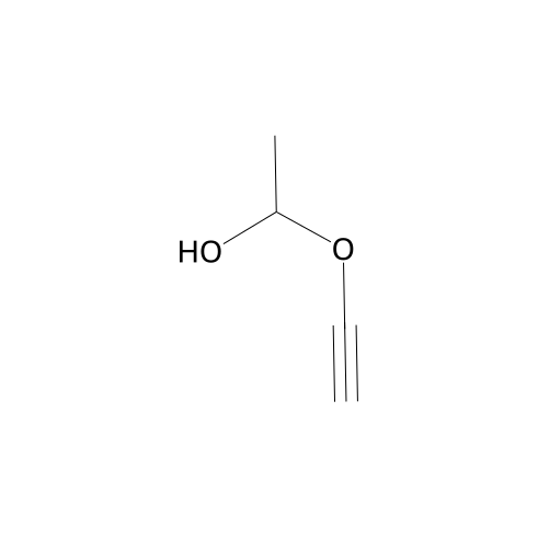 C#COC(C)O